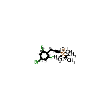 CC(C)(C)[SH](C)(C)(C)C#CCc1c(F)cc(Br)cc1F